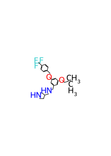 CC(C)COc1cc(CNCC2CCNC2)cc(OCc2ccc(C(F)(F)F)cc2)c1